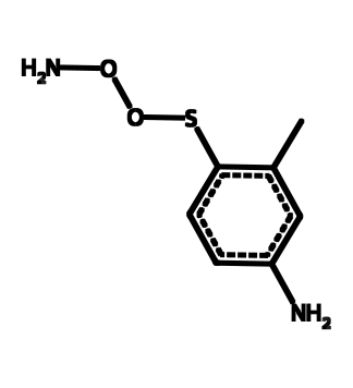 Cc1cc(N)ccc1SOON